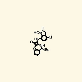 CC(C)(C)C(Nc1c(Nc2ccc(Cl)c3c2C(O)NC3)c(=O)c1=O)c1ccccc1